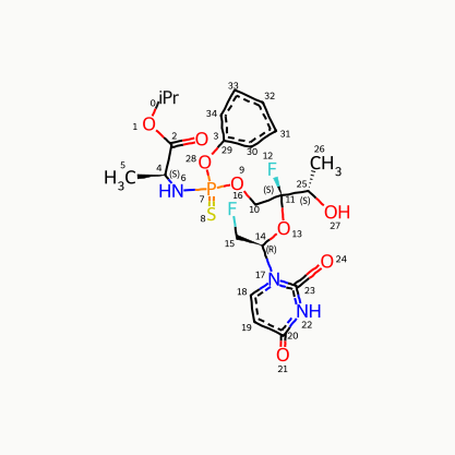 CC(C)OC(=O)[C@H](C)NP(=S)(OC[C@@](F)(O[C@H](CF)n1ccc(=O)[nH]c1=O)[C@H](C)O)Oc1ccccc1